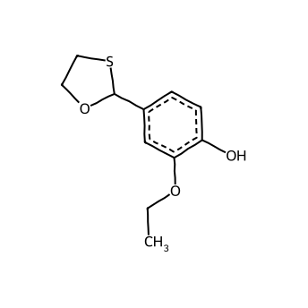 CCOc1cc(C2OCCS2)ccc1O